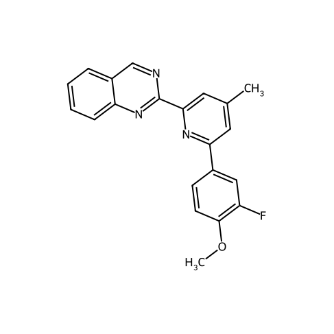 COc1ccc(-c2cc(C)cc(-c3ncc4ccccc4n3)n2)cc1F